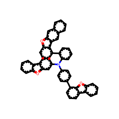 c1ccc(N(c2ccc(-c3cccc4c3oc3ccccc34)cc2)c2ccc3c(c2)oc2ccccc23)c(-c2cccc3oc4cc5ccccc5cc4c23)c1